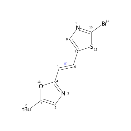 CC(C)(C)c1cnc(/C=C/c2cnc(Br)s2)o1